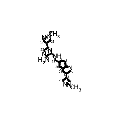 Cn1cc(-c2cnc3ccc(CNc4nc(-c5cnn(C)c5)cnc4N)cc3c2)cn1